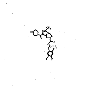 N[C@@H](CC(=O)N1CCn2c(C(F)(F)F)nc(C(=O)N3CCNCC3)c2C1)Cc1cc(F)c(F)cc1F